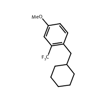 COc1ccc(CC2CCCCC2)c(C(F)(F)F)c1